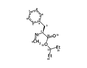 C=N[C@@H](Cc1ccccc1)C(=O)OC(CC)CC